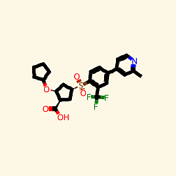 Cc1cc(-c2ccc(S(=O)(=O)[C@H]3C[C@@H](OC4CCCC4)[C@H](C(=O)O)C3)c(C(F)(F)F)c2)ccn1